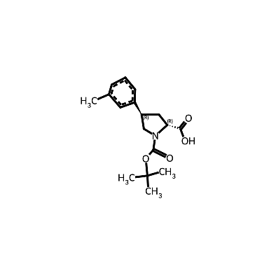 Cc1cccc([C@H]2C[C@H](C(=O)O)N(C(=O)OC(C)(C)C)C2)c1